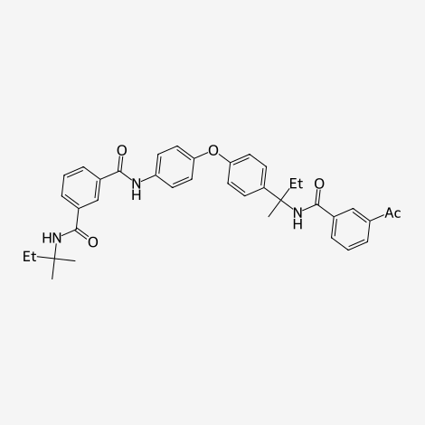 CCC(C)(C)NC(=O)c1cccc(C(=O)Nc2ccc(Oc3ccc(C(C)(CC)NC(=O)c4cccc(C(C)=O)c4)cc3)cc2)c1